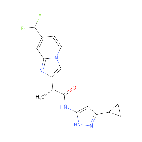 C[C@@H](C(=O)Nc1cc(C2CC2)n[nH]1)c1cn2ccc(C(F)F)cc2n1